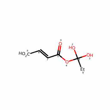 CCC(O)(O)OC(=O)/C=C/C(=O)O